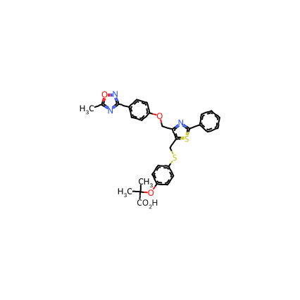 Cc1nc(-c2ccc(OCc3nc(-c4ccccc4)sc3CSc3ccc(OC(C)(C)C(=O)O)cc3)cc2)no1